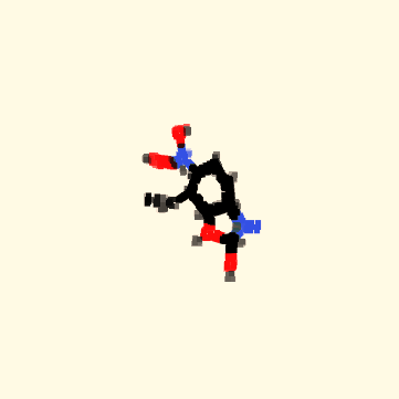 Cc1c([N+](=O)[O-])ccc2[nH]c(=O)oc12